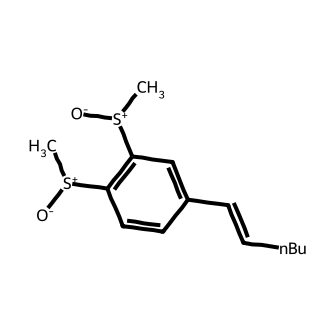 [CH2]CCCC=Cc1ccc([S+](C)[O-])c([S+](C)[O-])c1